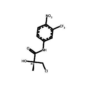 C[C@](O)(CCl)C(=O)Nc1ccc([N+](=O)[O-])c(C(F)(F)F)c1